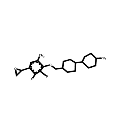 CCCC1CCC(C2CCC(COc3c(C)cc(C4CO4)c(F)c3F)CC2)CC1